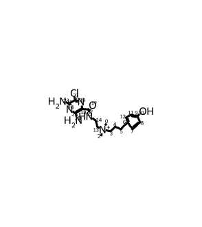 C[N+](C)(CCCc1ccc(O)cc1)CCNC(=O)c1nc(Cl)c(N)nc1N